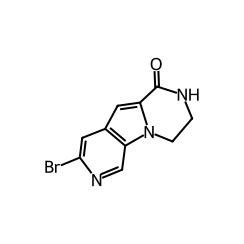 O=C1NCCn2c1cc1cc(Br)ncc12